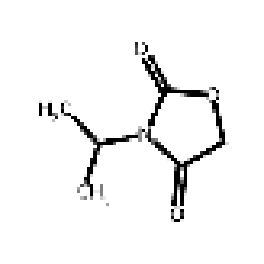 CC(C)N1C(=O)COC1=O